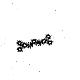 c1ccc(N(c2ccccc2)c2ccc(-c3nnc(-c4cccc(-c5nnc(-c6ccc(N(c7ccccc7)c7ccccc7)cc6)o5)c4)o3)cc2)cc1